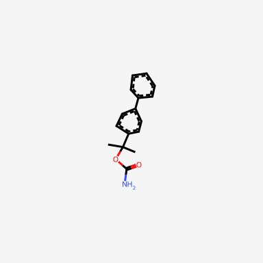 CC(C)(OC(N)=O)c1ccc(-c2ccccc2)cc1